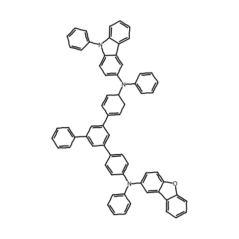 C1=CC(N(c2ccccc2)c2ccc3c(c2)c2ccccc2n3-c2ccccc2)CC=C1c1cc(-c2ccccc2)cc(-c2ccc(N(c3ccccc3)c3ccc4oc5ccccc5c4c3)cc2)c1